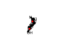 Cc1nn(CCC(C)(C)O)c(C)c1-c1nnc(Cc2ccc(Cl)c(Oc3cc(Cl)cc(C#N)c3)c2F)o1